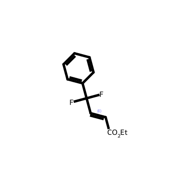 CCOC(=O)/C=C/C(F)(F)c1ccccc1